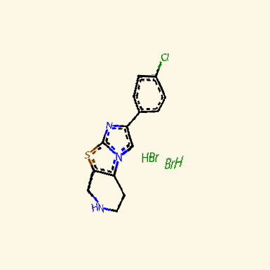 Br.Br.Clc1ccc(-c2cn3c4c(sc3n2)CNCC4)cc1